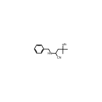 CCCC(C)(C)CC(C#N)NCc1ccccc1